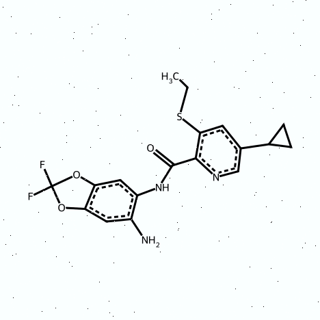 CCSc1cc(C2CC2)cnc1C(=O)Nc1cc2c(cc1N)OC(F)(F)O2